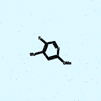 COc1cc(C(C)(C)C)c(F)cn1